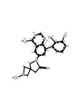 CN1CC2(CC(=O)N(c3cc(-c4cccc(Cl)c4Cl)c4ncnc(N)c4c3)C2)C1